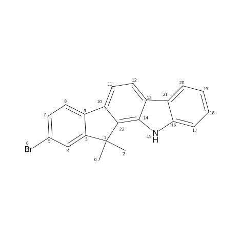 CC1(C)c2cc(Br)ccc2-c2ccc3c([nH]c4ccccc43)c21